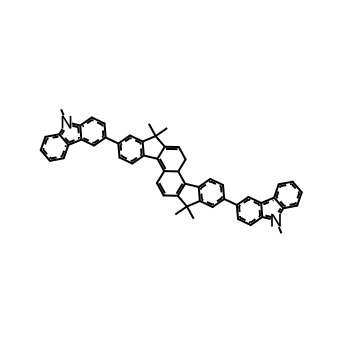 Cn1c2ccccc2c2cc(-c3ccc4c(c3)C(C)(C)C3=CCC5C(=C34)C=CC3=C5c4ccc(-c5ccc6c(c5)c5ccccc5n6C)cc4C3(C)C)ccc21